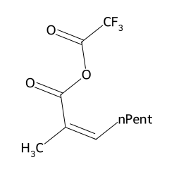 CCCCCC=C(C)C(=O)OC(=O)C(F)(F)F